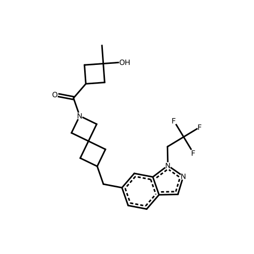 CC1(O)CC(C(=O)N2CC3(CC(Cc4ccc5cnn(CC(F)(F)F)c5c4)C3)C2)C1